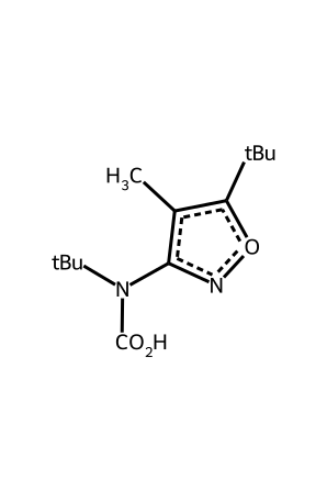 Cc1c(N(C(=O)O)C(C)(C)C)noc1C(C)(C)C